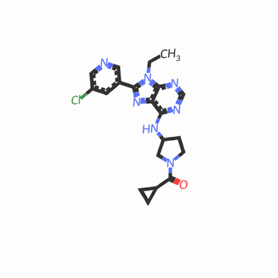 CCn1c(-c2cncc(Cl)c2)nc2c(NC3CCN(C(=O)C4CC4)C3)ncnc21